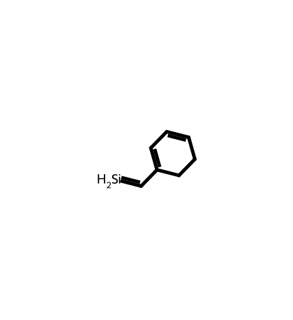 [SiH2]=CC1=CC=CCC1